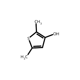 Cc1cc(O)c(C)s1